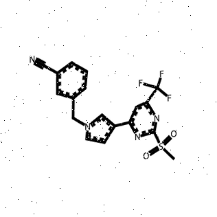 CS(=O)(=O)c1nc(-c2ccn(Cc3cccc(C#N)c3)c2)cc(C(F)(F)F)n1